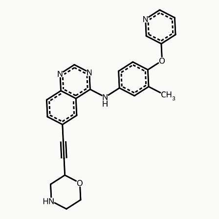 Cc1cc(Nc2ncnc3ccc(C#CC4CNCCO4)cc23)ccc1Oc1cccnc1